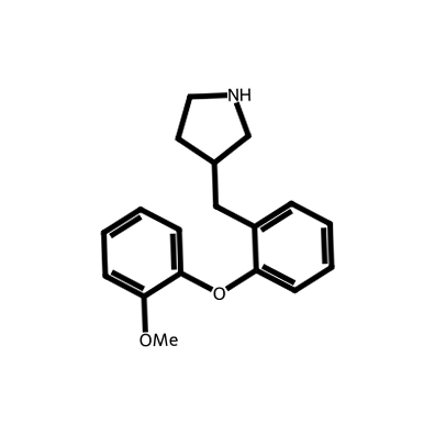 COc1ccccc1Oc1ccccc1CC1CCNC1